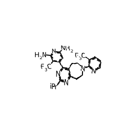 CC(C)c1nc2c(c(-c3cc(N)nc(N)c3C(F)(F)F)n1)CCN(c1ncccc1C(F)(F)F)CC2